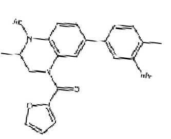 CCCc1cc(-c2ccc3c(c2)N(C(=O)c2ccco2)CC(C)N3C(C)=O)ccc1C